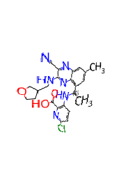 Cc1cc([C@@H](C)Nc2ccc(Cl)nc2C(=O)O)c2nc(NCC3CCOC3)c(C#N)nc2c1